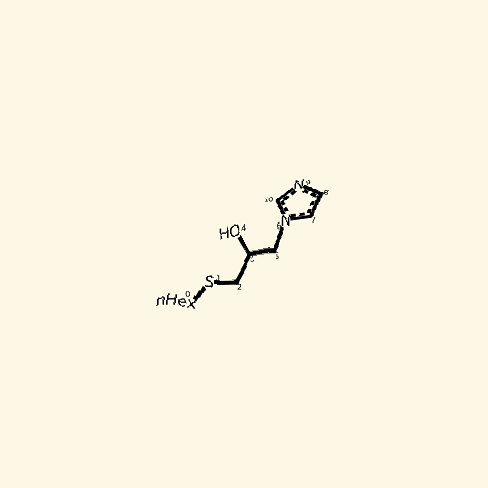 CCCCCCSCC(O)Cn1ccnc1